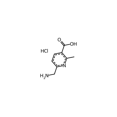 Cc1nc(CN)ccc1C(=O)O.Cl